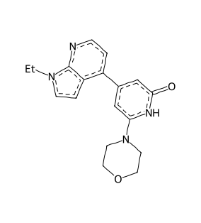 CCn1ccc2c(-c3cc(N4CCOCC4)[nH]c(=O)c3)ccnc21